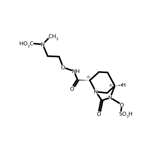 CN(CCONC(=O)[C@@H]1CC[C@@H]2CN1C(=O)N2OS(=O)(=O)O)C(=O)O